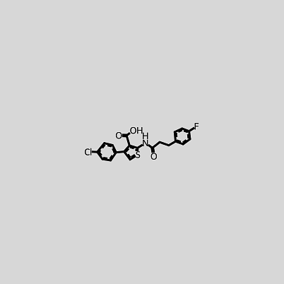 O=C(CCc1ccc(F)cc1)Nc1scc(-c2ccc(Cl)cc2)c1C(=O)O